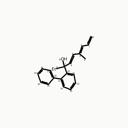 C=C/C=C(C)/C=C/C(O)(CC)c1ccccc1-c1ccccc1